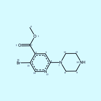 COC(=O)c1cc(N2CCNCC2)ncc1Br